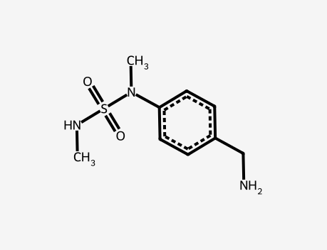 CNS(=O)(=O)N(C)c1ccc(CN)cc1